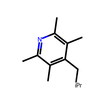 Cc1nc(C)c(C)c(CC(C)C)c1C